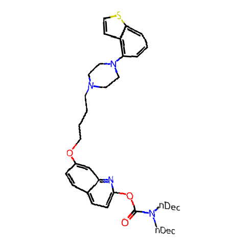 CCCCCCCCCCN(CCCCCCCCCC)C(=O)Oc1ccc2ccc(OCCCCN3CCN(c4cccc5sccc45)CC3)cc2n1